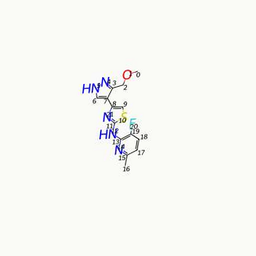 COCc1n[nH]cc1-c1csc(Nc2nc(C)ccc2F)n1